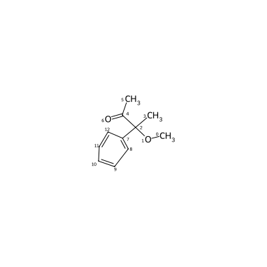 COC(C)(C(C)=O)c1ccccc1